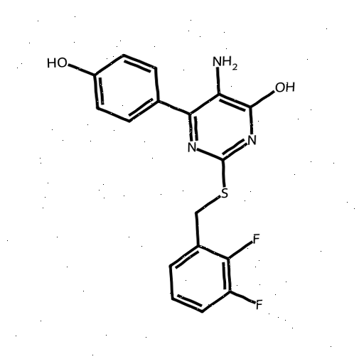 Nc1c(O)nc(SCc2cccc(F)c2F)nc1-c1ccc(O)cc1